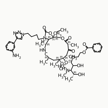 CC[C@H]1OC(=O)[C@H](C)C(=O)[C@H](C)[C@@H](O[C@H](OCCOC(=O)c2ccccc2)C(O)C([C@@H](C)O)N(C)C)[C@](C)(OC)C[C@@H](C)CN[C@H](C)[C@H]2N(CCCCn3cc(-c4cccc(N)c4)nn3)C(=O)O[C@]12C